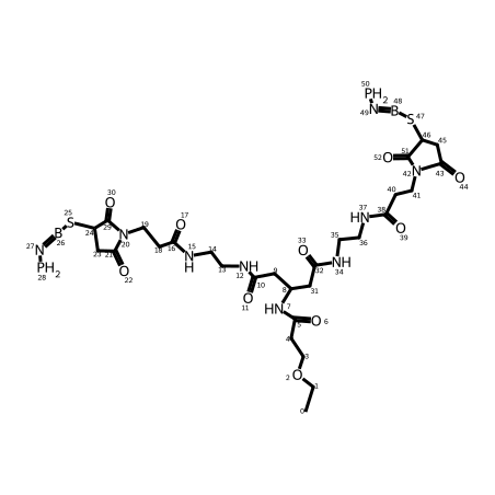 CCOCCC(=O)NC(CC(=O)NCCNC(=O)CCN1C(=O)CC(S/B=N/P)C1=O)CC(=O)NCCNC(=O)CCN1C(=O)CC(S/B=N/P)C1=O